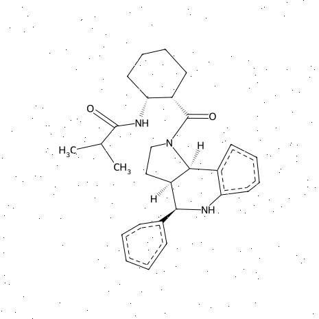 CC(C)C(=O)N[C@@H]1CCCC[C@@H]1C(=O)N1CC[C@@H]2[C@H](c3ccccc3)Nc3ccccc3[C@@H]21